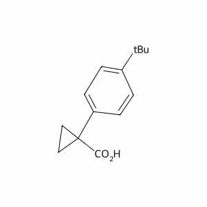 CC(C)(C)c1ccc(C2(C(=O)O)CC2)cc1